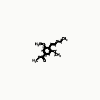 CCOC=Cc1c(OC)cc(C(=O)OC)cc1OC